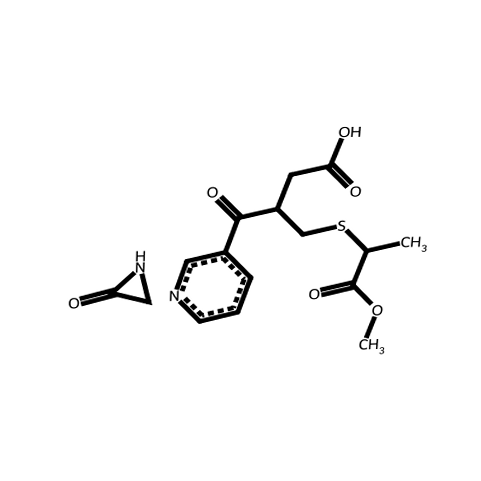 COC(=O)C(C)SCC(CC(=O)O)C(=O)c1cccnc1.O=C1CN1